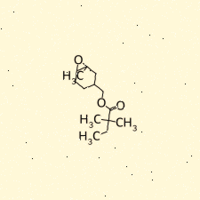 CCC(C)(C)C(=O)OCC1CCC2OC2(C)C1